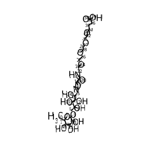 CCC1O[C@H](OCC(O)[C@@H](O)[C@@H](O)C(O)/C=N/OCC(=O)NCCOCCOCCOCCOCCCC(=O)O)C(O)[C@H](O)[C@@H]1O